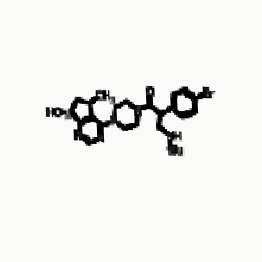 CC1C[C@@H](O)c2ncnc(N3CCN(C(=O)C(CNC(C)(C)C)c4ccc(Br)cc4)CC3)c21